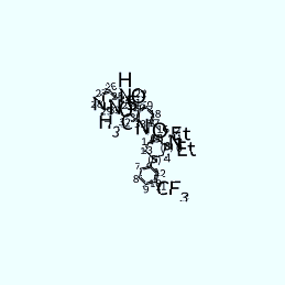 CCN(CC)[C@H]1C[C@@H](c2cccc(C(F)(F)F)c2)CC[C@@H]1Oc1ccc(S(=O)(=O)Nc2ccncn2)c(C)n1